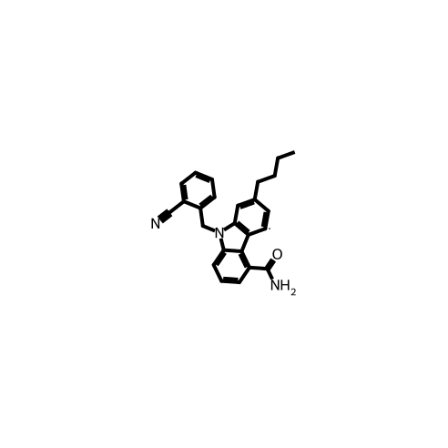 CCCCc1c[c]c2c3c(C(N)=O)cccc3n(Cc3ccccc3C#N)c2c1